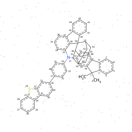 CC1(C)c2ccccc2-c2ccc(N(c3ccc(-c4ccc5c(c4)sc4ccccc45)cc3)c3cccc4c3C3(c5ccccc5-4)C4CC5CC(C4)CC3C5)cc21